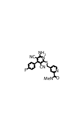 CNC(=O)c1cc(CSc2nc(N)c(C#N)c(-c3ccc(F)cc3)c2C#N)ccn1